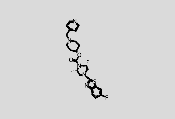 C[C@@H]1CN(c2nc3ccc(F)cc3s2)C[C@H](C)N1C(=O)OC1CCN(Cc2ccncc2)CC1